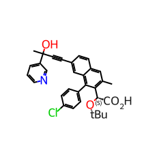 Cc1cc2ccc(C#CC(C)(O)c3cccnc3)cc2c(-c2ccc(Cl)cc2)c1[C@H](OC(C)(C)C)C(=O)O